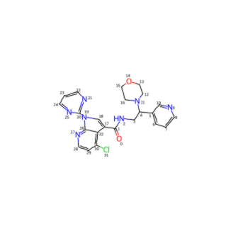 O=C(NCC(c1cccnc1)N1CCOCC1)c1cn(-c2ncccn2)c2nccc(Cl)c12